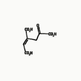 O=C(O)/C=C(\CC(=O)C(=O)O)C(=O)O